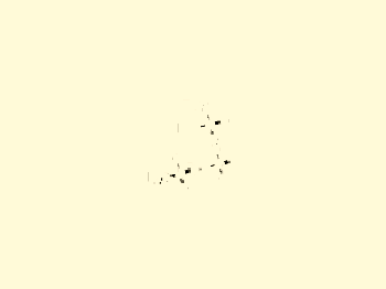 O.O=S(=O)([O-])C(F)(F)F.O=S(=O)([O-])C(F)(F)F.O=S(=O)([O-])C(F)(F)F.[Er+3]